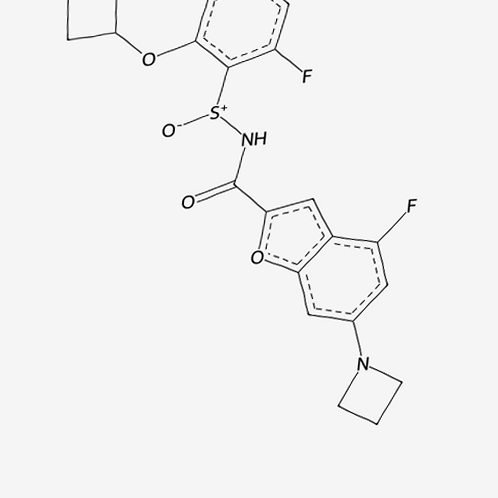 O=C(N[S+]([O-])c1c(F)cccc1OC1CCC1)c1cc2c(F)cc(N3CCC3)cc2o1